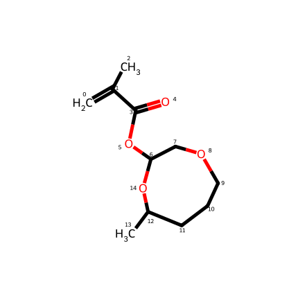 C=C(C)C(=O)OC1COCCCC(C)O1